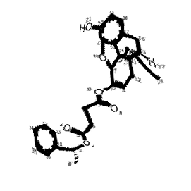 C[C@@H](OC(=O)CCC(=O)OC1=CC[C@@]2(O)[C@H]3Cc4ccc(O)c5c4C2(CCN3C)C1O5)c1ccccc1